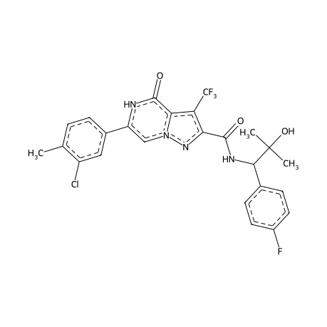 Cc1ccc(-c2cn3nc(C(=O)NC(c4ccc(F)cc4)C(C)(C)O)c(C(F)(F)F)c3c(=O)[nH]2)cc1Cl